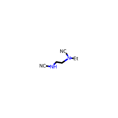 CCN(C#N)CCNC#N